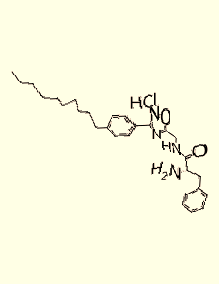 CCCCCCCCCCc1ccc(-c2noc(CNC(=O)[C@@H](N)Cc3ccccc3)n2)cc1.Cl